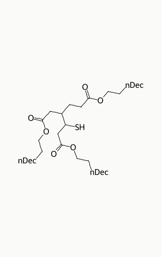 CCCCCCCCCCCCOC(=O)CCC(CC(=O)OCCCCCCCCCCCC)C(S)CC(=O)OCCCCCCCCCCCC